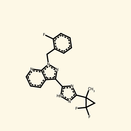 CC1(c2n[nH]c(-c3nn(Cc4ccccc4F)c4ncccc34)n2)CC1(F)F